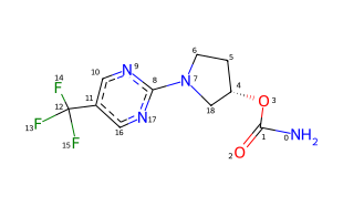 NC(=O)O[C@H]1CCN(c2ncc(C(F)(F)F)cn2)C1